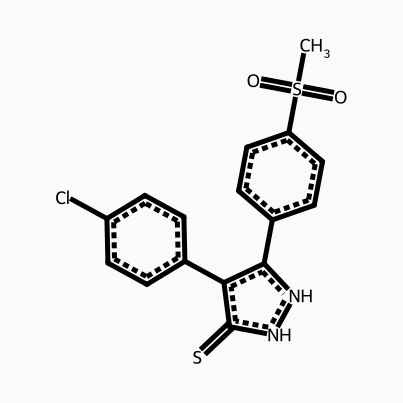 CS(=O)(=O)c1ccc(-c2[nH][nH]c(=S)c2-c2ccc(Cl)cc2)cc1